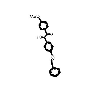 COc1ccc(C(=O)C(O)c2ccc(OCc3ccccc3)cc2)cc1